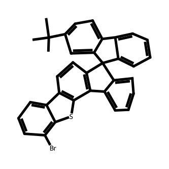 CC(C)(C)c1ccc2c(c1)C1(c3ccccc3-2)c2ccccc2-c2c1ccc1c2sc2c(Br)cccc21